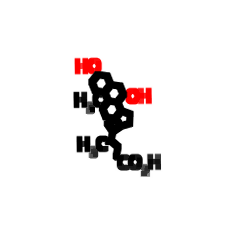 CC(CCC(=O)O)C1=CC23CCC4C(C2CCC13)[C@H](O)CC1C[C@H](O)CCC14C